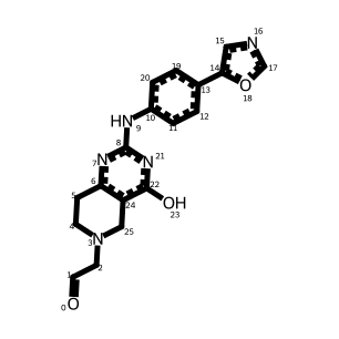 O=CCN1CCc2nc(Nc3ccc(-c4cnco4)cc3)nc(O)c2C1